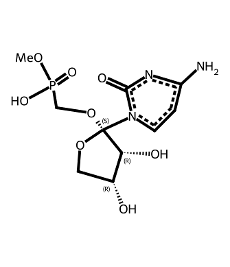 COP(=O)(O)CO[C@@]1(n2ccc(N)nc2=O)OC[C@@H](O)[C@H]1O